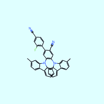 Cc1ccc2c3ccccc3n(-c3cc(C#N)c(-c4ccc(C#N)cc4F)cc3-n3c4ccccc4c4ccc(C)cc43)c2c1